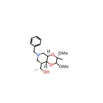 CO[C@H]1O[C@@H]2[C@@H]([C@@H](C)O)CN(Cc3ccccc3)C[C@H]2O[C@]1(C)OC